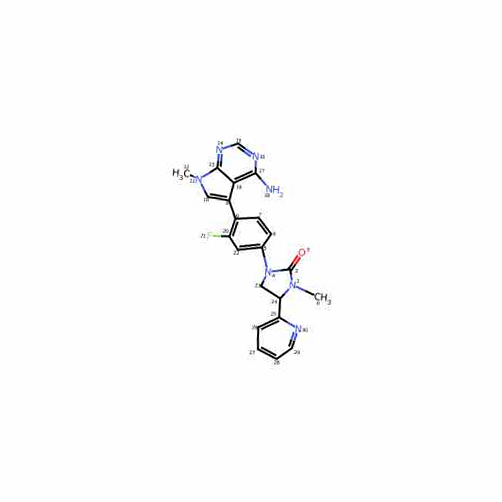 CN1C(=O)N(c2ccc(-c3cn(C)c4ncnc(N)c34)c(F)c2)CC1c1ccccn1